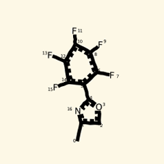 Cc1coc(-c2c(F)c(F)c(F)c(F)c2F)n1